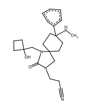 CNC1(c2ccccc2)CCC2(CC1)CN(CCC#N)C(=O)N2CC1(O)CCC1